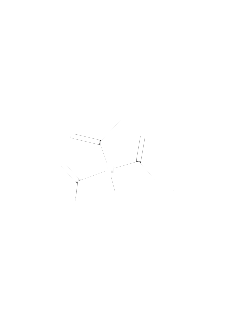 C[Si](C(=O)C(F)(F)F)(C(=O)C(F)(F)F)C(=O)C(F)(F)F